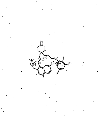 COc1ccc2ncc(CO)c([C@H](O)CCC3([C@@H](O)CCSc4cc(F)cc(F)c4F)CCNCC3)c2c1